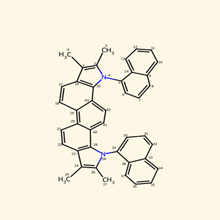 Cc1c(C)n(-c2cccc3ccccc23)c2c1ccc1c3ccc4c(C)c(C)n(-c5cccc6ccccc56)c4c3ccc12